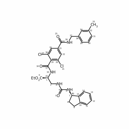 CCOC(=O)[C@H](CNC(=O)N[C@@H]1CCc2ccccc21)NC(=O)c1c(Cl)cc(C(=O)NCc2cccc(C)c2)cc1Cl